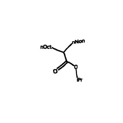 CCCCCCCCCC(CCCCCCCC)C(=O)OC(C)C